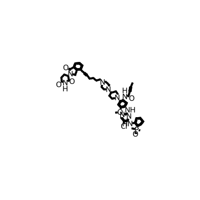 CC#CC(=O)Nc1cc(Nc2ncc(Cl)c(Nc3ccccc3P(C)(C)=O)n2)c(OC)cc1N1CCC(N2CCN(CCCCC#Cc3cccc4c3CN(C3CCC(=O)NC3=O)C4=O)CC2)CC1